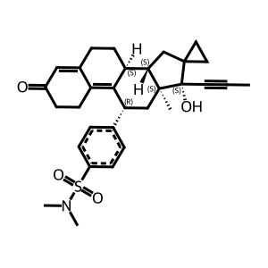 CC#C[C@]1(O)C2(CC2)C[C@H]2[C@@H]3CCC4=CC(=O)CCC4=C3[C@@H](c3ccc(S(=O)(=O)N(C)C)cc3)C[C@@]21C